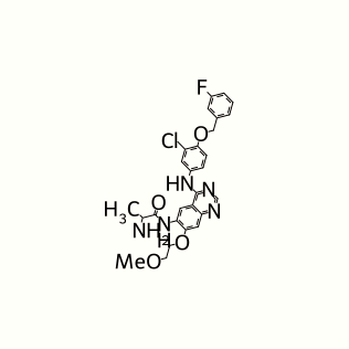 COCCOc1cc2ncnc(Nc3ccc(OCc4cccc(F)c4)c(Cl)c3)c2cc1NC(=O)C(C)N